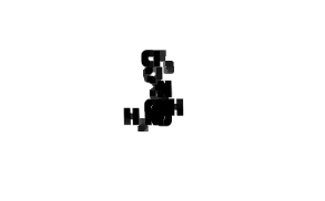 NS(=O)(=O)Nc1ccc(-c2ccc(C(F)(F)F)cc2)nc1